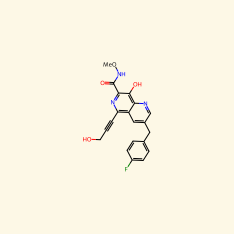 CONC(=O)c1nc(C#CCO)c2cc(Cc3ccc(F)cc3)cnc2c1O